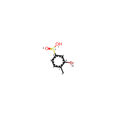 Cc1ccc(S(=O)O)cc1Br